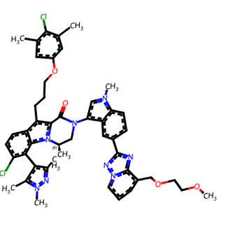 COCCOCc1cccn2nc(-c3ccc4c(c3)c(N3C[C@@H](C)n5c(c(CCCOc6cc(C)c(Cl)c(C)c6)c6ccc(Cl)c(-c7c(C)nn(C)c7C)c65)C3=O)cn4C)nc12